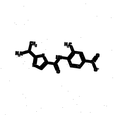 Cc1cc([N+](=O)[O-])ccc1NC(=O)c1cnc(C(C)N)s1